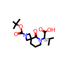 CC(C)[C@@H](C(=O)O)N1CCCC2(CN(C(=O)OC(C)(C)C)C2)C1=O